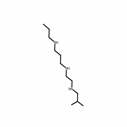 CCCNCCCNCCNCC(C)C